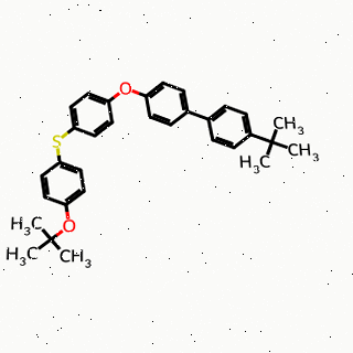 CC(C)(C)Oc1ccc(Sc2ccc(Oc3ccc(-c4ccc(C(C)(C)C)cc4)cc3)cc2)cc1